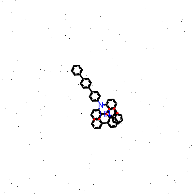 c1ccc(-c2ccc(-c3ccc(N(c4ccccc4-c4cccc5cccc(-c6ccccc6)c45)c4cccc5c4[nH]c4ccccc45)cc3)cc2)cc1